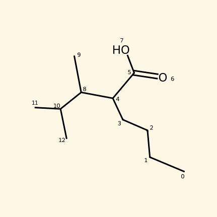 CCCCC(C(=O)O)C(C)C(C)C